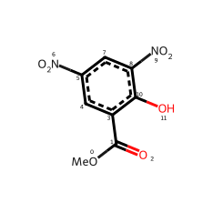 COC(=O)c1cc([N+](=O)[O-])cc([N+](=O)[O-])c1O